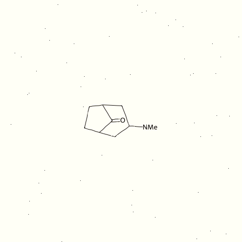 CNC1CC2CCC(C1)C2=O